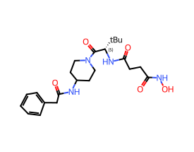 CC(C)(C)[C@H](NC(=O)CCC(=O)NO)C(=O)N1CCC(NC(=O)Cc2ccccc2)CC1